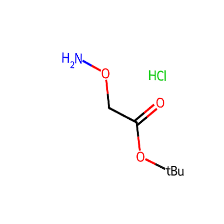 CC(C)(C)OC(=O)CON.Cl